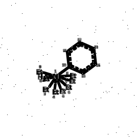 C[CH2][Ni]([NH2])([CH2]C)([CH2]C)([CH2]C)([CH2]C)([CH2]C)([CH2]C)([CH2]C)[c]1ccccc1